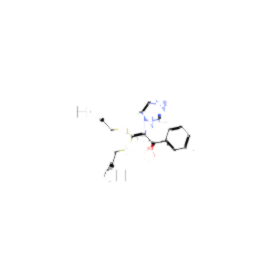 C#CCSC(SCC#C)=C(C(=O)c1ccccc1)n1ccnc1